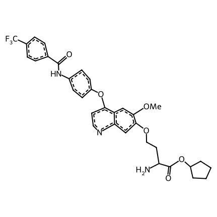 COc1cc2c(Oc3ccc(NC(=O)c4ccc(C(F)(F)F)cc4)cc3)ccnc2cc1OCCC(N)C(=O)OC1CCCC1